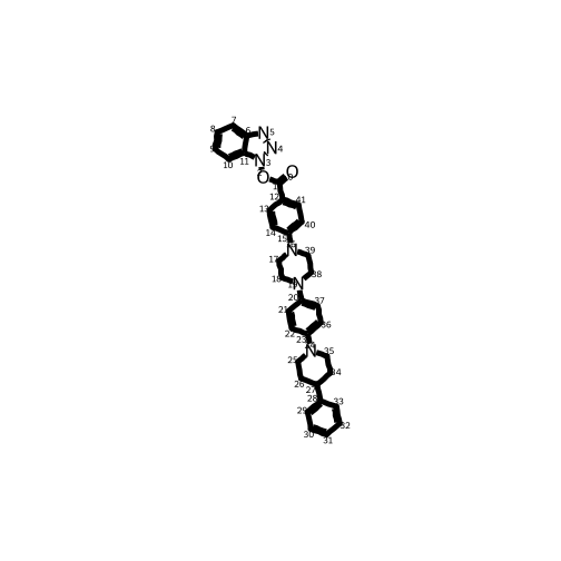 O=C(On1nnc2ccccc21)c1ccc(N2CCN(c3ccc(N4CCC(c5ccccc5)CC4)cc3)CC2)cc1